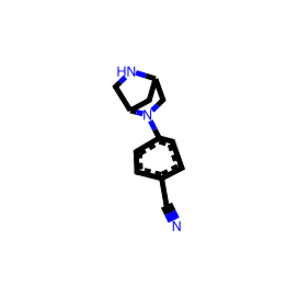 N#Cc1ccc(N2CC3CC2CN3)cc1